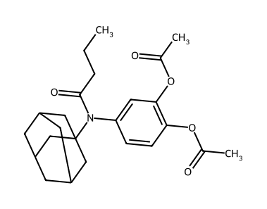 CCCC(=O)N(c1ccc(OC(C)=O)c(OC(C)=O)c1)C12CC3CC(CC(C3)C1)C2